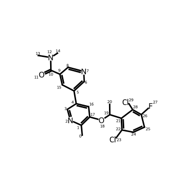 Cc1ncc(-c2cncc(C(=O)N(C)C)c2)cc1OC(C)c1c(Cl)ccc(F)c1Cl